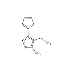 CCn1c(C2=CC=CC2)cnc1N